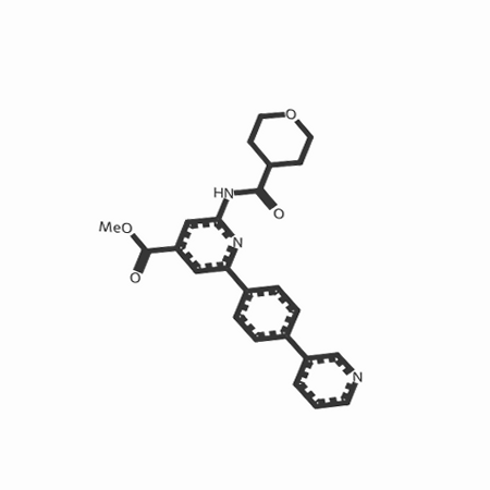 COC(=O)c1cc(NC(=O)C2CCOCC2)nc(-c2ccc(-c3cccnc3)cc2)c1